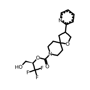 O=C(O[C@H](CO)C(F)(F)F)N1CCC2(CC1)CC(c1ccccn1)CO2